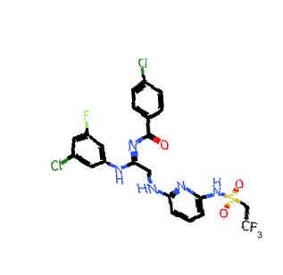 O=C(/N=C(\CNc1cccc(NS(=O)(=O)CC(F)(F)F)n1)Nc1cc(F)cc(Cl)c1)c1ccc(Cl)cc1